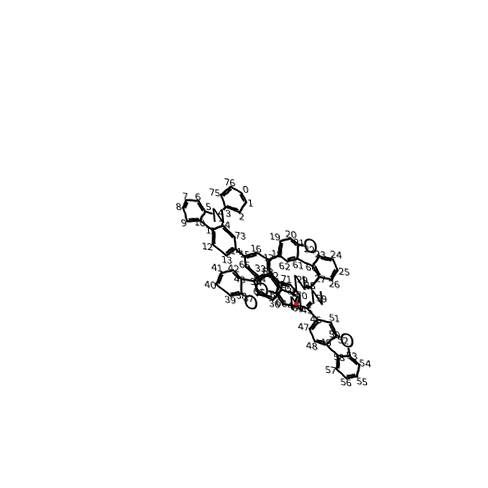 c1ccc(-n2c3ccccc3c3ccc(-c4cc(-c5ccc6oc7cccc(-c8nc(-c9ccc%10c(c9)oc9ccccc9%10)nc(-c9ccc%10c(c9)oc9ccccc9%10)n8)c7c6c5)c5c(c4)oc4ccccc45)cc32)cc1